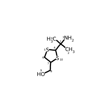 CC(C)(N)C1SCC(CO)S1